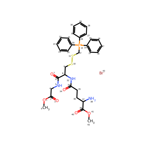 COC(=O)CNC(=O)C(CSSC[P+](c1ccccc1)(c1ccccc1)c1ccccc1)NC(=O)CCC(N)C(=O)OC.[Br-]